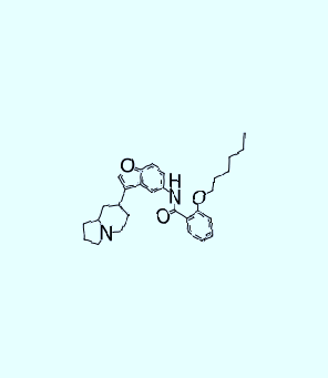 CCCCCCOc1ccccc1C(=O)Nc1ccc2occ(C3CCN4CCCC4C3)c2c1